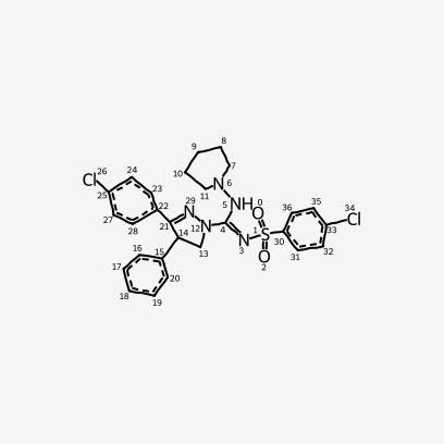 O=S(=O)(/N=C(\NN1CCCCC1)N1CC(c2ccccc2)C(c2ccc(Cl)cc2)=N1)c1ccc(Cl)cc1